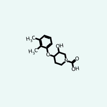 Cc1cccc(OC2CCN(C(=O)O)CC2O)c1C